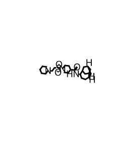 O=C(NC1CC[C@@H]2C[C@H]3CC1C[C@H]2C3)C1CCN(S(=O)(=O)CCN2CCCCC2)CC1